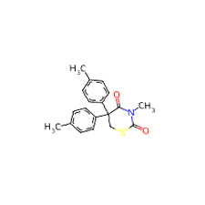 Cc1ccc(C2(c3ccc(C)cc3)CSC(=O)N(C)C2=O)cc1